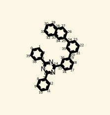 c1ccc(-c2nc(-c3ccccc3)nc(-c3cccc(-c4cccc(-c5ccc6ccccc6c5)c4)c3)n2)cc1